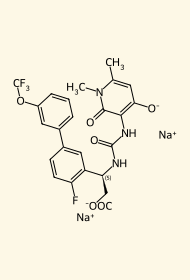 Cc1cc([O-])c(NC(=O)N[C@@H](CC(=O)[O-])c2cc(-c3cccc(OC(F)(F)F)c3)ccc2F)c(=O)n1C.[Na+].[Na+]